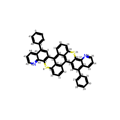 c1ccc(-c2cc3c(sc4cccc5c4c3c3cccc4sc6c(cc(-c7ccccc7)c7cccnc76)c5c43)c3ncccc23)cc1